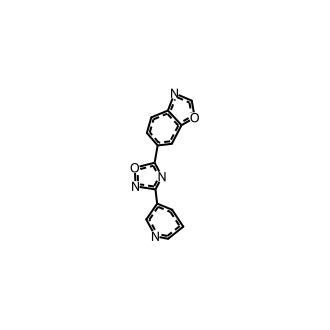 c1cncc(-c2noc(-c3ccc4ncoc4c3)n2)c1